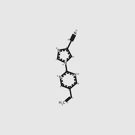 C=Cc1cnc(-n2cnc(C#N)c2)nc1